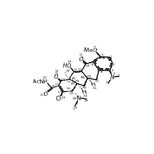 COc1ccc(N(C)C)c2c1C(=O)C1=C(O)[C@]3(C)C(=O)C(C(=O)NC(C)=O)=C(Cl)[C@@H](N(C)C)[C@@H]3C[C@@H]1C2